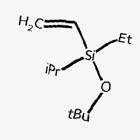 C=C[Si](CC)(OC(C)(C)C)C(C)C